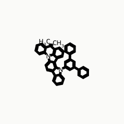 CC1(C)c2ccccc2-n2c3ccc4c5ccccc5n(-c5cc(-c6ccccc6)cc(-c6ccccc6)c5)c4c3c3cccc1c32